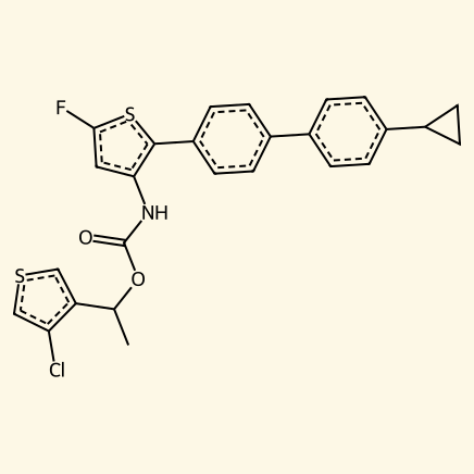 CC(OC(=O)Nc1cc(F)sc1-c1ccc(-c2ccc(C3CC3)cc2)cc1)c1cscc1Cl